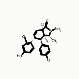 CC[C@@]12C=C[C@@H](c3ccc(O)cc3Cl)[C@H](c3ccc(Cl)cc3)[C@@H]1[C@@H](C)N(N)C2=O